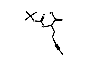 CC#CSCC(NC(=O)OC(C)(C)C)C(=O)O